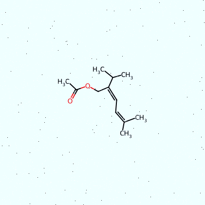 CC(=O)OC/C(=C\C=C(C)C)C(C)C